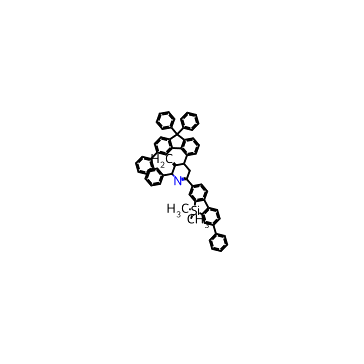 C=C1C(c2cccc3c2-c2cc(-c4ccccc4)ccc2C3(c2ccccc2)c2ccccc2)CC(c2ccc3c(c2)[Si](C)(C)c2cc(-c4ccccc4)ccc2-3)=NC1c1ccccc1